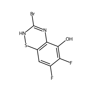 Oc1c(F)c(F)cc2c1N=C(Br)NS2